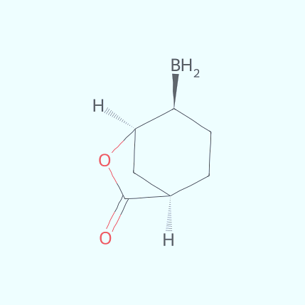 B[C@H]1CC[C@@H]2C[C@H]1OC2=O